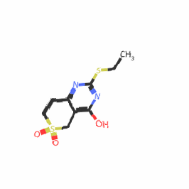 CCSc1nc(O)c2c(n1)CCS(=O)(=O)C2